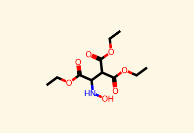 CCOC(=O)C(NO)C(C(=O)OCC)C(=O)OCC